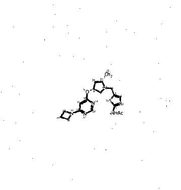 CC(=O)Nc1ncc(CN2C[C@H](Oc3cc(N4CCC4)ncn3)C[C@@H]2C)s1